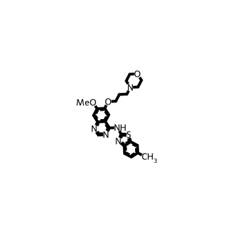 COc1cc2ncnc(Nc3nc4ccc(C)cc4s3)c2cc1OCCCN1CCOCC1